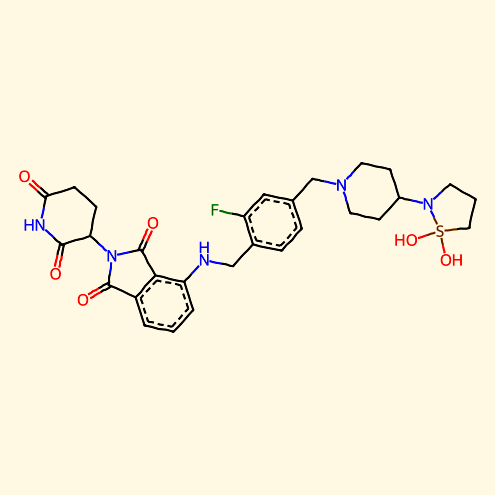 O=C1CCC(N2C(=O)c3cccc(NCc4ccc(CN5CCC(N6CCCS6(O)O)CC5)cc4F)c3C2=O)C(=O)N1